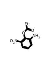 CCC(=O)Oc1c(N)cccc1[N+](=O)[O-]